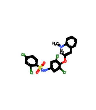 C=Nc1ccccc1/C=C(\C)Oc1c(Cl)cc(NS(=O)(=O)c2ccc(Cl)cc2Cl)cc1Cl